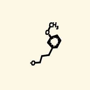 COc1cccc(CCC[O])c1